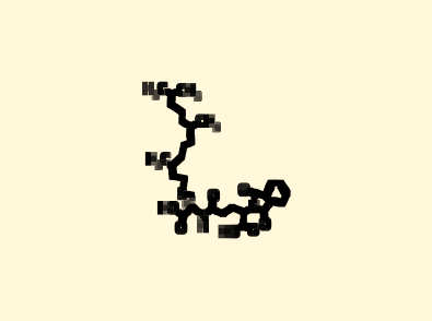 CC(C)=CCCC(C)=CCCC(C)=CCSC[C@H](NC(=O)CCC(C(=O)O)N1C(=O)c2ccccc2C1=O)C(=O)O